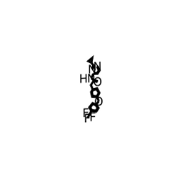 O=C(Cc1ccc(Oc2ccc(C(F)(F)F)cc2)cc1)Nc1ccnc(C2CC2)n1